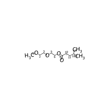 COCCOCCOC(=O)[CH]CC(C)C